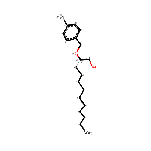 CCCCCCCCCCCCCCCCCCC[C@@H](CO)OCc1ccc(OC)cc1